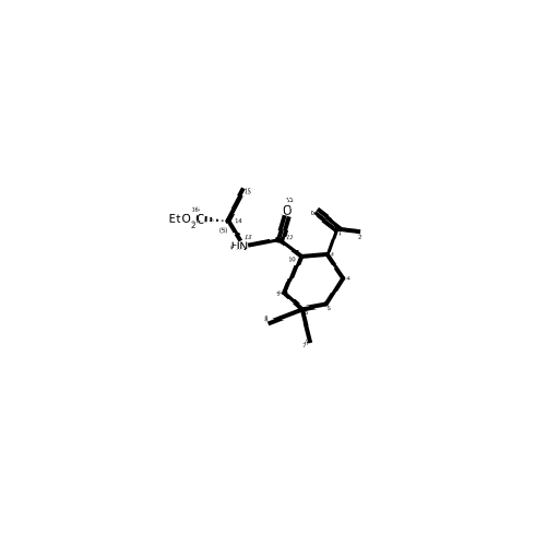 C=C(C)C1CCC(C)(C)CC1C(=O)N[C@@H](C)C(=O)OCC